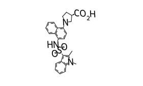 Cc1c(S(=O)(=O)Nc2ccc(N3CC[C@@H](C(=O)O)C3)c3ccccc23)c2ccccc2n1C